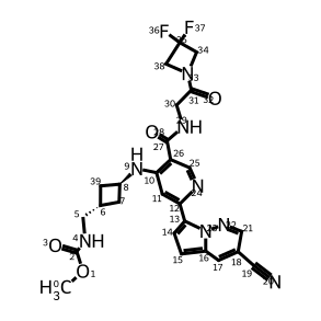 COC(=O)NC[C@H]1C[C@H](Nc2cc(-c3ccc4cc(C#N)cnn34)ncc2C(=O)NCC(=O)N2CC(F)(F)C2)C1